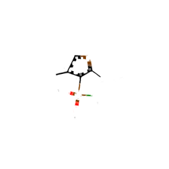 CCOC(=O)c1scc(C)c1S(=O)(=O)Cl